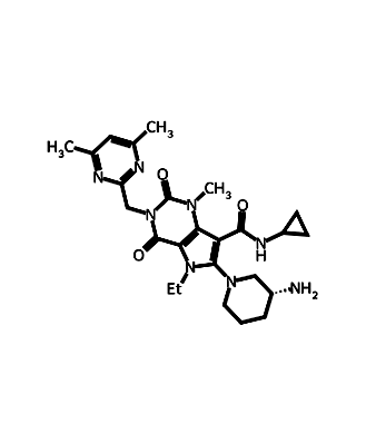 CCn1c(N2CCC[C@@H](N)C2)c(C(=O)NC2CC2)c2c1c(=O)n(Cc1nc(C)cc(C)n1)c(=O)n2C